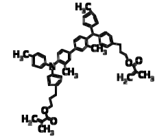 C=C(C)C(=O)OCCCc1ccc(C(c2ccc(C)cc2)c2ccc(-c3ccc(N(c4ccc(C)cc4)c4ccc(CCCOC(=O)C(=C)C)cc4)c(C)c3)cc2C)cc1